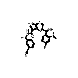 CNc1cc(F)ccc1C(=N)c1cnc2[nH]cc(C(=O)N[C@H](C)c3cccc(C#N)c3)c2n1